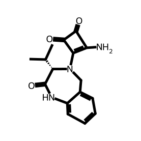 CC(C)[C@H]1C(=O)Nc2ccccc2CN1c1c(N)c(=O)c1=O